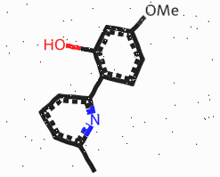 COc1ccc(-c2cccc(C)n2)c(O)c1